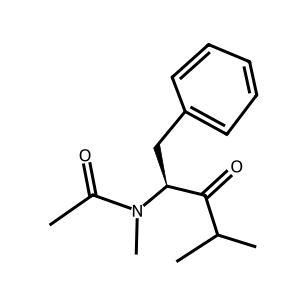 CC(=O)N(C)[C@@H](Cc1ccccc1)C(=O)C(C)C